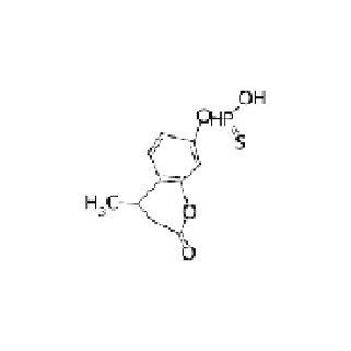 CC1CC(=O)Oc2cc(O[PH](O)=S)ccc21